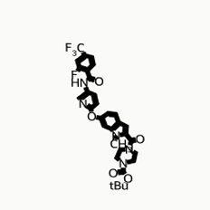 Cn1c(C(=O)N2CCN(C(=O)OC(C)(C)C)CC2)cc2ccc(Oc3ccc(NC(=O)c4ccc(C(F)(F)F)cc4F)cn3)cc21